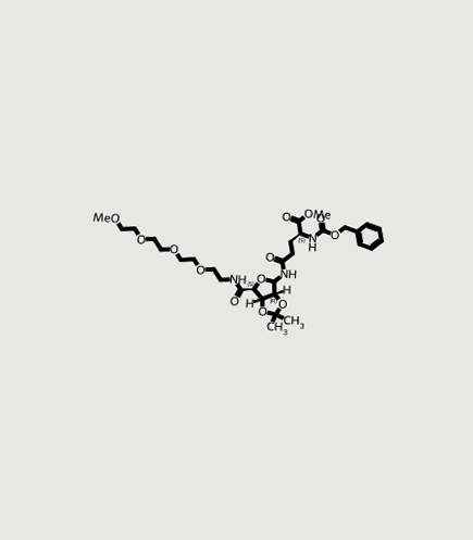 COCCOCCOCCOCCNC(=O)[C@H]1OC(NC(=O)CC[C@H](NC(=O)OCc2ccccc2)C(=O)OC)[C@@H]2OC(C)(C)O[C@H]12